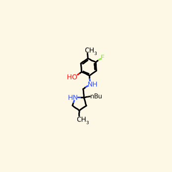 CCCCC1(CNc2cc(F)c(C)cc2O)CC(C)CN1